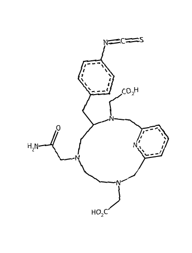 NC(=O)CN1CCN(CC(=O)O)Cc2cccc(n2)CN(CC(=O)O)C(Cc2ccc(N=C=S)cc2)C1